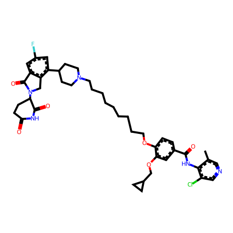 Cc1cncc(Cl)c1NC(=O)c1ccc(OCCCCCCCCCN2CCC(c3cc(F)cc4c3CN(C3CCC(=O)NC3=O)C4=O)CC2)c(OCC2CC2)c1